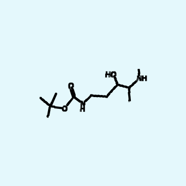 CNC(C)C(O)CCNC(=O)OC(C)(C)C